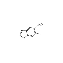 Cc1cc2sccc2cc1C=O